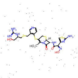 N=C(N)NC(CO)CSCc1cnccc1SC1=C(C(=O)O)N2C(=O)[C@@H](NC(=O)/C(=N\O)c3csc(N)n3)[C@@H]2SC1